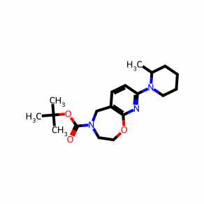 CC1CCCCN1c1ccc2c(n1)OCCN(C(=O)OC(C)(C)C)C2